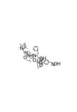 Cc1nc(CN2CCN([C@H](C(=O)N[C@@H](Cc3ccccc3)[C@H](O)CN(CC(C)C)S(=O)(=O)c3ccc(/C=N/O)cc3)C(C)C)C2=O)c(C)s1